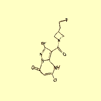 O=C(c1c(Br)nn2c(=O)cc(Cl)[nH]c12)N1CC(CF)C1